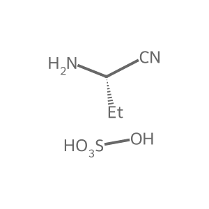 CC[C@H](N)C#N.O=S(=O)(O)O